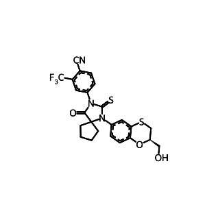 N#Cc1ccc(N2C(=O)C3(CCCC3)N(c3ccc4c(c3)SC[C@@H](CO)O4)C2=S)cc1C(F)(F)F